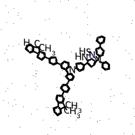 CC1(C)c2ccccc2-c2ccc(-c3ccc(-c4ccc5c(c4)c4cc(-c6ccc(-c7ccc8c(c7)C(C)(C)c7ccccc7-8)cc6)ccc4n5-c4ccc(C5=CC=C(N(c6ccccc6)c6ccc(-c7ccccc7)cc6)/C(=N/S)C5=N)cc4)cc3)cc21